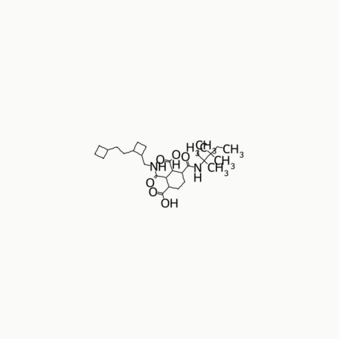 CCC(C)(C)C(C)(CC)NC(=O)C1CCC(C(=O)O)C(C(=O)NCC2CCC2CCC2CCC2)C1C(=O)O